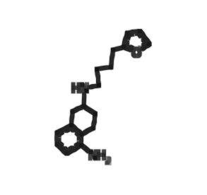 Nc1cccc2c1CCC(NCCCCc1ccco1)C2